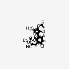 CCOP(=O)(OCC)C(C#N)Cc1cc(-c2nn(C)c(OC(F)F)c2Cl)c(F)cc1Cl